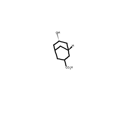 O=C(O)C1CC2C[C@H](O)C[C@@H](C2)C1